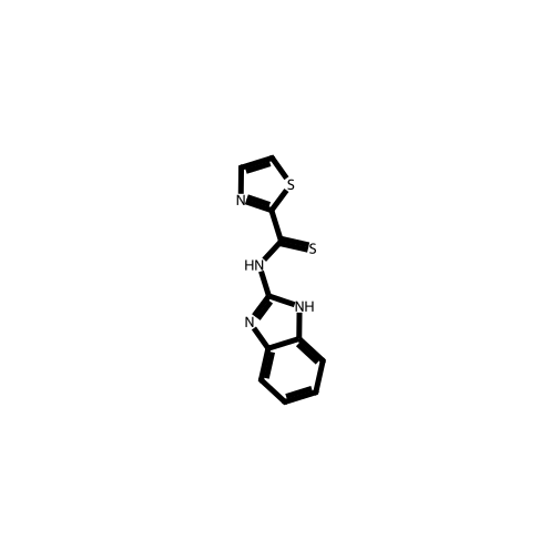 S=C(Nc1nc2ccccc2[nH]1)c1nccs1